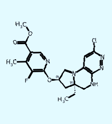 CC[C@@]12CNc3nnc(Cl)cc3N1C[C@H](Oc1ncc(C(=O)OC)c(C)c1F)C2